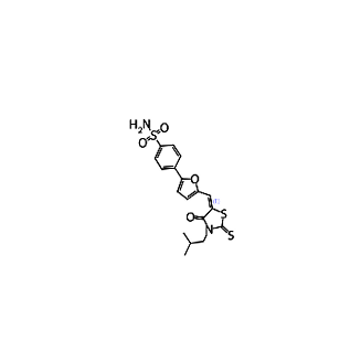 CC(C)CN1C(=O)/C(=C\c2ccc(-c3ccc(S(N)(=O)=O)cc3)o2)SC1=S